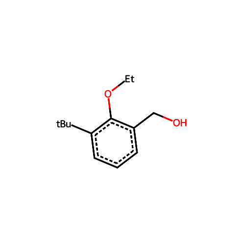 CCOc1c(CO)cccc1C(C)(C)C